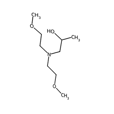 COCCN(CCOC)CC(C)O